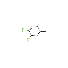 C[C@H]1C=C(F)C(F)=CC1